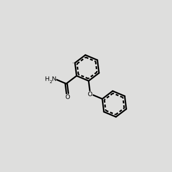 NC(=O)c1[c]cccc1Oc1ccccc1